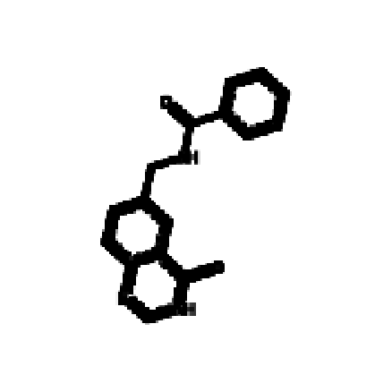 O=C(NCc1ccc2nc[nH]c(=O)c2c1)c1ccccc1